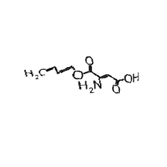 C=CC=COC(=O)C(N)=CC(=O)O